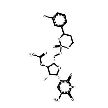 CC(=O)O[C@@H]1[C@@H](F)[C@@H](n2cc(C)c(=O)[nH]c2=O)O[C@H]1COP1(=O)OCCC(c2cccc(Cl)c2)O1